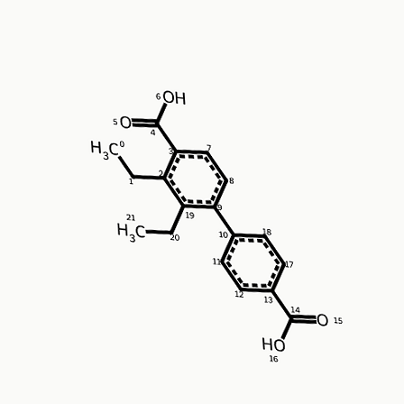 CCc1c(C(=O)O)ccc(-c2ccc(C(=O)O)cc2)c1CC